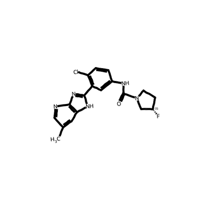 Cc1cnc2nc(-c3cc(NC(=O)N4CC[C@H](F)C4)ccc3Cl)[nH]c2c1